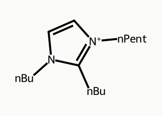 CCCCC[n+]1ccn(CCCC)c1CCCC